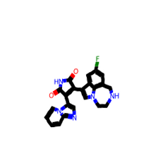 O=C1NC(=O)C(c2cnc3ccccn23)=C1c1cn2c3c(cc(F)cc13)CNCC2